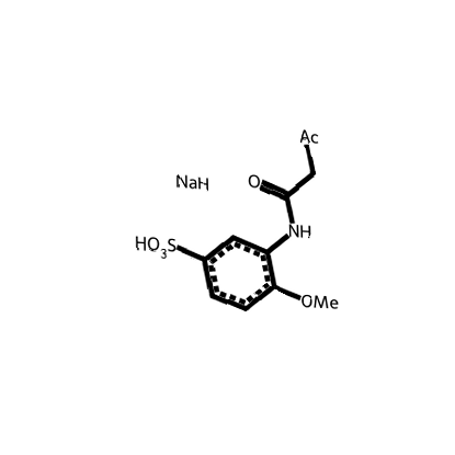 COc1ccc(S(=O)(=O)O)cc1NC(=O)CC(C)=O.[NaH]